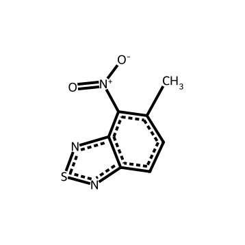 Cc1ccc2nsnc2c1[N+](=O)[O-]